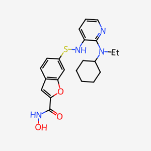 CCN(c1ncccc1NSc1ccc2cc(C(=O)NO)oc2c1)C1CCCCC1